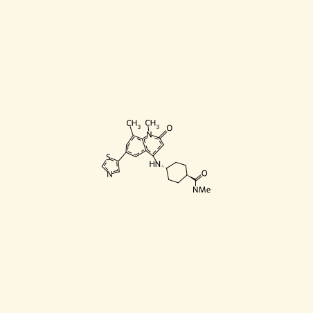 CNC(=O)[C@H]1CC[C@H](Nc2cc(=O)n(C)c3c(C)cc(-c4cncs4)cc23)CC1